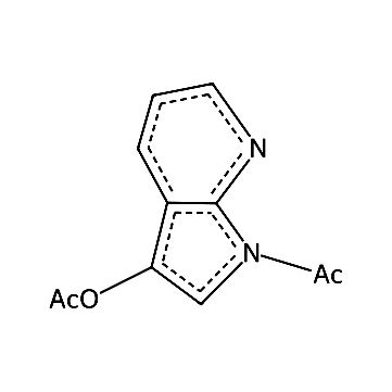 CC(=O)Oc1cn(C(C)=O)c2ncccc12